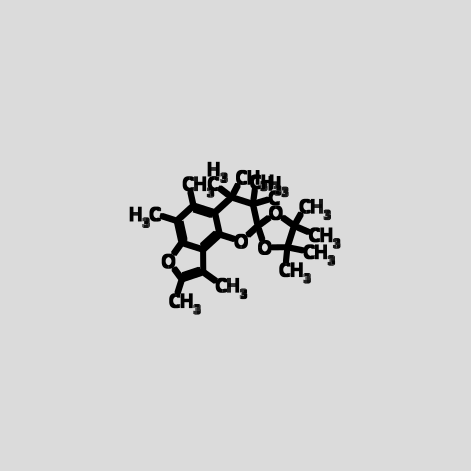 Cc1oc2c(C)c(C)c3c(c2c1C)OC1(OC(C)(C)C(C)(C)O1)C(C)(C)C3(C)C